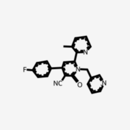 Cc1cccnc1-c1cc(-c2ccc(F)cc2)c(C#N)c(=O)n1Cc1cccnc1